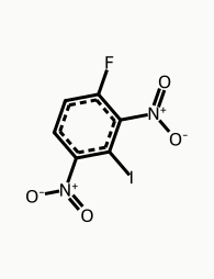 O=[N+]([O-])c1ccc(F)c([N+](=O)[O-])c1I